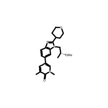 CO[C@H](C)Cn1c(C2CCOCC2)nc2ccc(-c3cc(C)c(=O)n(C)c3)cc21